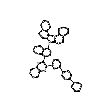 c1ccc(-c2ccc(-c3cccc(-c4nc5ccccc5nc4-c4ccc(-n5c6ccc7ccccc7c6c6c7ccccc7ccc65)c5ccccc45)c3)cc2)cc1